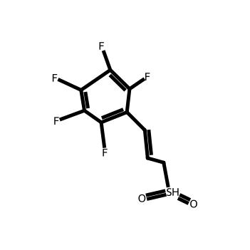 O=[SH](=O)CC=Cc1c(F)c(F)c(F)c(F)c1F